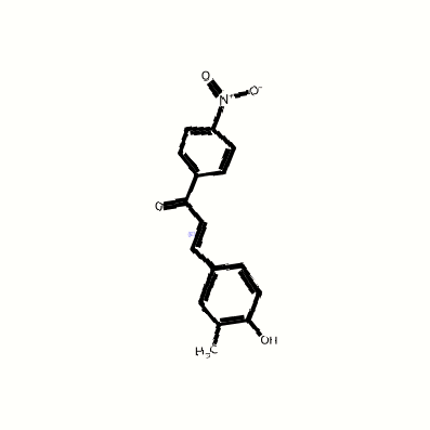 Cc1cc(/C=C/C(=O)c2ccc([N+](=O)[O-])cc2)ccc1O